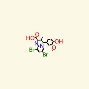 COc1cc(C2C(C)C(C(=O)O)N=C3C(Br)=CC(Br)=CN32)ccc1O